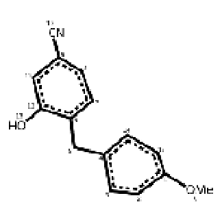 COc1ccc(Cc2ccc(C#N)cc2O)cc1